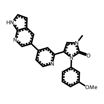 COc1cccc(-n2c(-c3cc(-c4cnc5[nH]ccc5c4)ccn3)cn(C)c2=O)c1